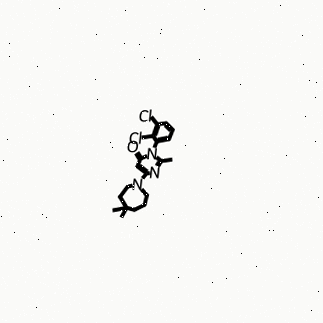 Cc1nc(N2CCCC(C)(C)CC2)cc(=O)n1-c1cccc(Cl)c1Cl